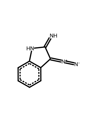 [N-]=[N+]=C1C(=N)Nc2ccccc21